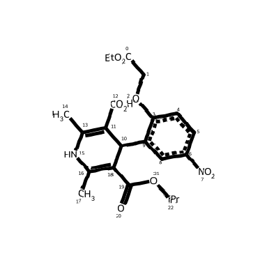 CCOC(=O)COc1ccc([N+](=O)[O-])cc1C1C(C(=O)O)=C(C)NC(C)=C1C(=O)OC(C)C